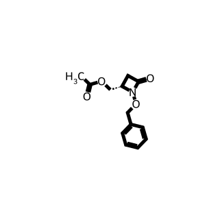 CC(=O)OC[C@@H]1CC(=O)N1OCc1ccccc1